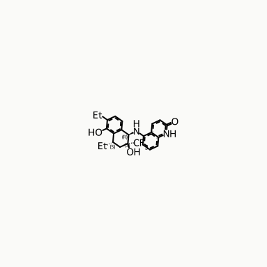 CCc1ccc2c(c1O)[C@@H](CC)C[C@@](O)(C(F)(F)F)[C@@H]2Nc1cccc2[nH]c(=O)ccc12